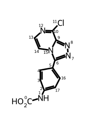 O=C(O)Nc1ccc(-c2nnc3c(Cl)nccn23)cc1